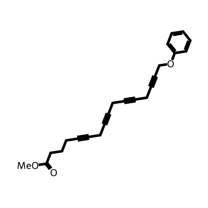 COC(=O)CCCC#CCC#CCC#CCC#CCOc1ccccc1